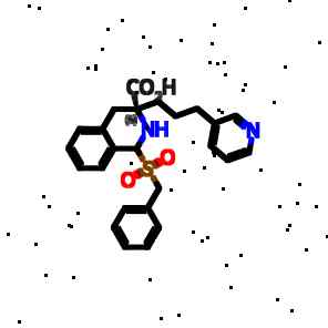 O=C(O)[C@]1(CCCc2cccnc2)Cc2ccccc2C(S(=O)(=O)Cc2ccccc2)N1